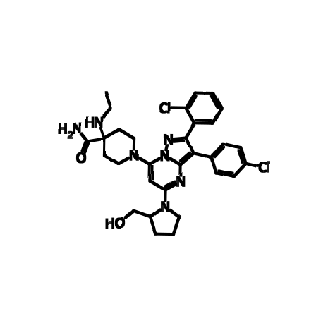 CCNC1(C(N)=O)CCN(c2cc(N3CCCC3CO)nc3c(-c4ccc(Cl)cc4)c(-c4ccccc4Cl)nn23)CC1